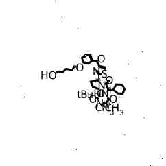 C[C@@H](C(=O)N[C@H](C(=O)N1CCC[C@H]1c1nc(C(=O)c2cccc(OCCCCCO)c2)cs1)C1CCCCC1)N(C)C(=O)OC(C)(C)C